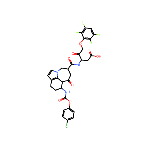 O=C(O)CC(NC(=O)C1CC(=O)C2c3c(ccn3C1)CCC2NC(=O)Oc1ccc(Cl)cc1)C(=O)COc1c(F)c(F)cc(F)c1F